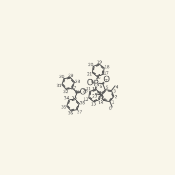 Cc1cc(C)c(C(=O)P(=O)(c2ccccc2)c2ccccc2)c(C)c1.O=C(c1ccccc1)c1ccccc1